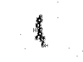 N#Cc1cc(NC(=O)c2ccn(-c3ccc(Cl)cc3)c2)ccc1N1CCN(CCO)CC1